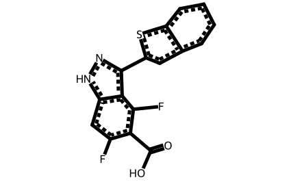 O=C(O)c1c(F)cc2[nH]nc(-c3cc4ccccc4s3)c2c1F